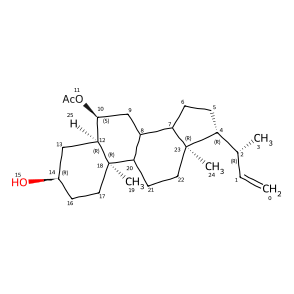 C=C[C@@H](C)[C@H]1CCC2C3C[C@H](OC(C)=O)[C@@H]4C[C@H](O)CC[C@]4(C)C3CC[C@@]21C